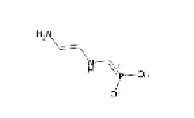 NC=CN/C=[P+](\[O-])O